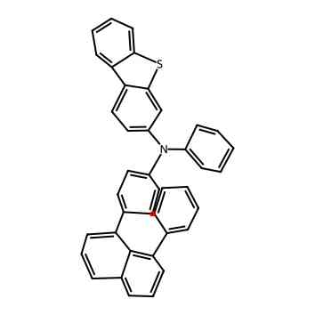 c1ccc(-c2cccc3cccc(-c4ccc(N(c5ccccc5)c5ccc6c(c5)sc5ccccc56)cc4)c23)cc1